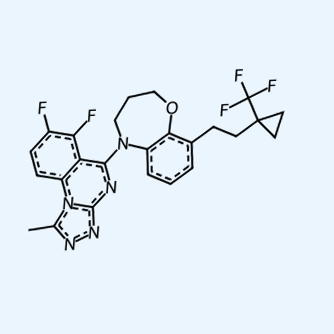 Cc1nnc2nc(N3CCCOc4c(CCC5(C(F)(F)F)CC5)cccc43)c3c(F)c(F)ccc3n12